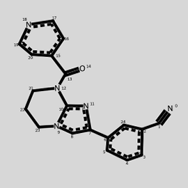 N#Cc1cccc(-c2cn3c(n2)N(C(=O)c2ccncc2)CCC3)c1